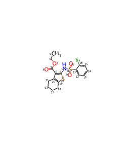 CCOC(=O)c1c(NS(=O)(=O)c2ccccc2F)sc2c1CCCC2